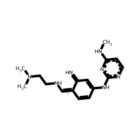 CNc1ccnc(NC2=CC(=N)/C(=C\NCCN(C)C)C=C2)n1